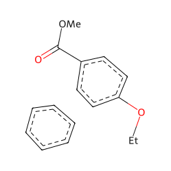 CCOc1ccc(C(=O)OC)cc1.c1ccccc1